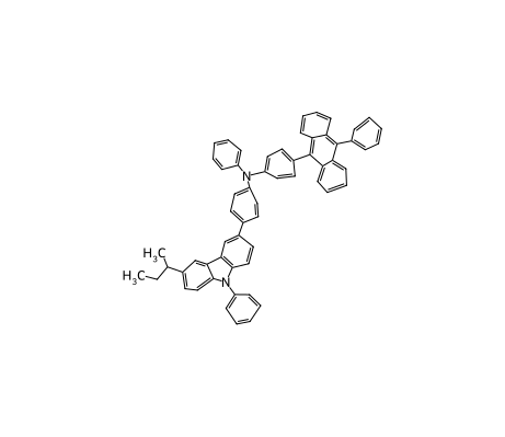 CCC(C)c1ccc2c(c1)c1cc(-c3ccc(N(c4ccccc4)c4ccc(-c5c6ccccc6c(-c6ccccc6)c6ccccc56)cc4)cc3)ccc1n2-c1ccccc1